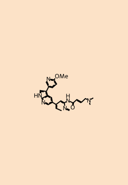 C=N/C(=C\C(=C/C)c1cnc2[nH]cc(-c3ccc(OC)nc3)c2c1)NC(=O)/C=C/CN(C)C